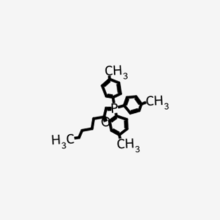 CCCCCC(=O)C=P(c1ccc(C)cc1)(c1ccc(C)cc1)c1ccc(C)cc1